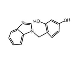 Oc1ccc(Cn2cnc3ccccc32)c(O)c1